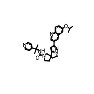 CC(C)Oc1ccc2ncc(-c3cc4n(n3)CCC43CCN(C(=O)NC(C)(C)c4ccncc4)C3)cc2c1